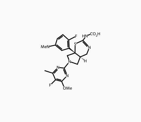 CNc1ccc(F)c([C@]23CN(c4nc(C)c(F)c(OC)n4)C[C@@H]2CN=C(NC(=O)O)S3)c1